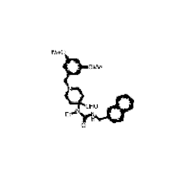 CCN(C(=O)NCc1ccc2ccccc2c1)C1(C=O)CCN(Cc2cc(OC)cc(OC)c2)CC1